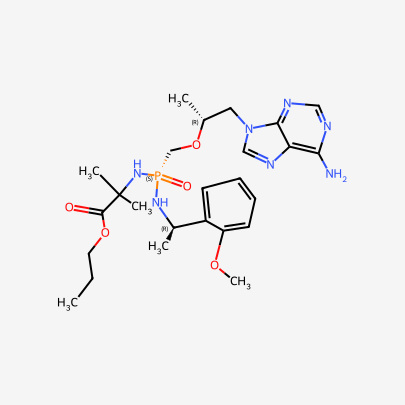 CCCOC(=O)C(C)(C)N[P@](=O)(CO[C@H](C)Cn1cnc2c(N)ncnc21)N[C@H](C)c1ccccc1OC